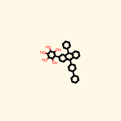 Oc1c(O)c(O)c(-c2ccc3c(-c4ccc(-c5ccccc5)cc4)c4ccccc4c(-c4ccccc4)c3c2)c(O)c1O